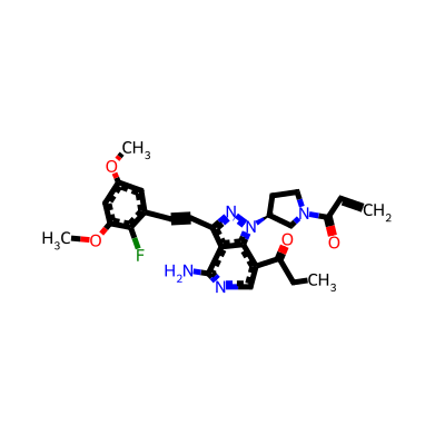 C=CC(=O)N1CC[C@H](n2nc(C#Cc3cc(OC)cc(OC)c3F)c3c(N)ncc(C(=O)CC)c32)C1